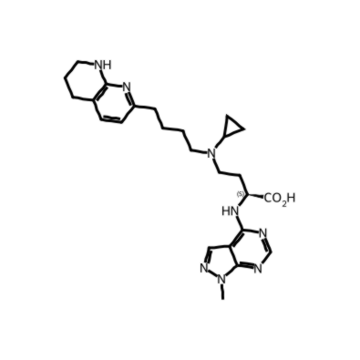 Cn1ncc2c(N[C@@H](CCN(CCCCc3ccc4c(n3)NCCC4)C3CC3)C(=O)O)ncnc21